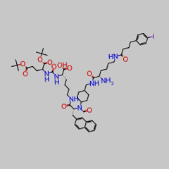 CC(C)(C)OC(=O)CC[C@H](NC(=O)N[C@@H](CCCCNC(=O)[C@@H](Cc1ccc2ccccc2c1)N(C=O)C1CCC(CNC(=O)[C@@H](N)CCCCNC(=O)CCCc2ccc(I)cc2)CC1)C(=O)O)C(=O)OC(C)(C)C